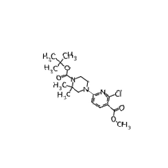 COC(=O)c1ccc(N2CCN(C(=O)OC(C)(C)C)C(C)(C)C2)nc1Cl